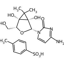 CC1(C)[C@]2(O)[C@@H](CO)O[C@@H](n3ccc(N)nc3=O)[C@]12O.Cc1ccc(S(=O)(=O)O)cc1